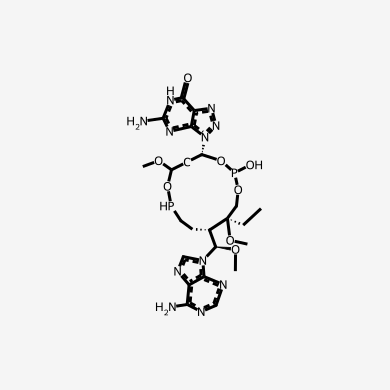 CC[C@@]1(OC)COP(O)O[C@@H](n2nnc3c(=O)[nH]c(N)nc32)CC(OC)OPCC[C@H]1[C@@H](OC)n1cnc2c(N)ncnc21